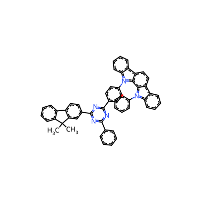 CC1(C)c2ccccc2-c2ccc(-c3nc(-c4ccccc4)nc(-c4ccc(-n5c6ccccc6c6ccc7c8ccccc8n(-c8ccccc8)c7c65)cc4)n3)cc21